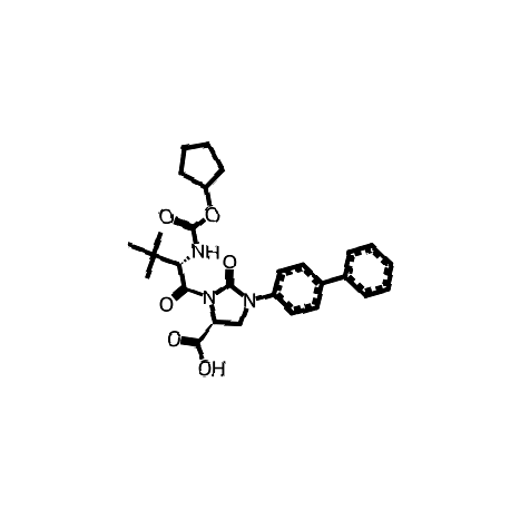 CC(C)(C)[C@H](NC(=O)OC1CCCC1)C(=O)N1C(=O)N(c2ccc(-c3ccccc3)cc2)C[C@H]1C(=O)O